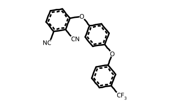 N#Cc1cccc(Oc2ccc(Oc3cccc(C(F)(F)F)c3)cc2)c1C#N